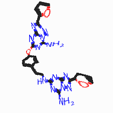 Nc1nc(NCCc2ccc(Oc3nc(N)n4nc(-c5ccco5)nc4n3)cc2)nc2nc(-c3ccco3)nn12